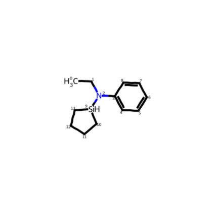 CCN(c1ccccc1)[SiH]1CCCC1